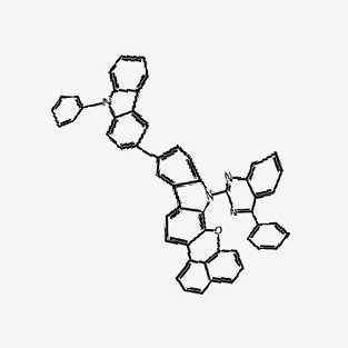 c1ccc(-c2nc(-n3c4ccc(-c5ccc6c(c5)c5ccccc5n6-c5ccccc5)cc4c4ccc5c(c43)Oc3cccc4cccc-5c34)nc3ccccc23)cc1